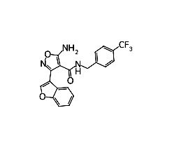 Nc1onc(-c2coc3ccccc23)c1C(=O)NCc1ccc(C(F)(F)F)cc1